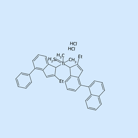 CCC1=Cc2c(-c3ccccc3)cccc2[CH]1[Ti]([CH3])([CH3])(=[SiH2])[CH]1C(CC)=Cc2c(-c3cccc4ccccc34)cccc21.Cl.Cl